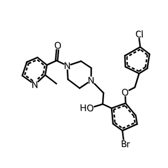 Cc1ncccc1C(=O)N1CCN(CC(O)c2cc(Br)ccc2OCc2ccc(Cl)cc2)CC1